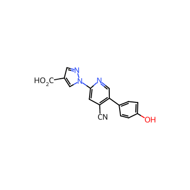 N#Cc1cc(-n2cc(C(=O)O)cn2)ncc1-c1ccc(O)cc1